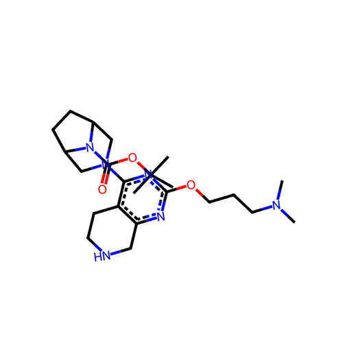 CN(C)CCCOc1nc2c(c(N3CC4CCC(C3)N4C(=O)OC(C)(C)C)n1)CCNC2